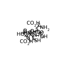 NC(CCC(=O)N(CP(=O)(O)O)C(CS)C(=O)N(CC(=O)O)CP(=O)(O)O)C(=O)O